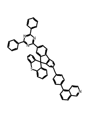 c1ccc(-c2nc(-c3ccccc3)nc(-c3ccc4c(c3)C3(c5ccccc5Sc5ccccc53)c3cc(-c5ccc(-c6cccc7cnccc67)cc5)ccc3-4)n2)cc1